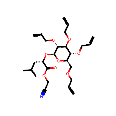 C=CCOC[C@H]1O[C@@H](O[C@@H](CC(C)C)C(=O)OCC#N)[C@H](OCC=C)[C@@H](OCC=C)[C@@H]1OCC=C